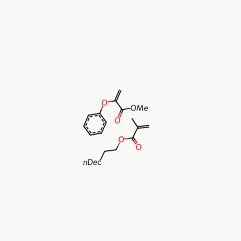 C=C(C)C(=O)OCCCCCCCCCCCC.C=C(Oc1ccccc1)C(=O)OC